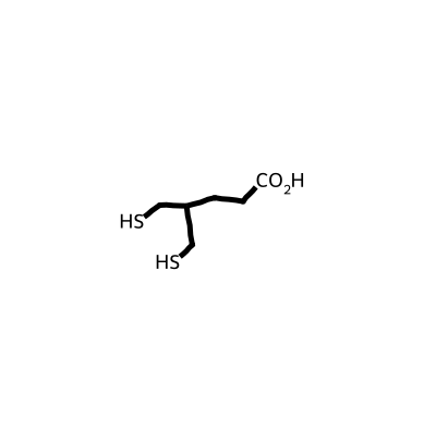 O=C(O)CCC(CS)CS